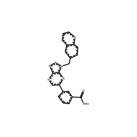 CNC(=O)c1cccc(-c2cnc3nnn(Cc4ccc5ncccc5c4)c3n2)c1